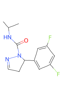 CC(C)NC(=O)N1N=CCC1c1cc(F)cc(F)c1